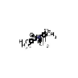 CONC(=C\c1ccc(C)c(C)c1)/C(=C/c1ccc(C)c(C)c1)NC=O